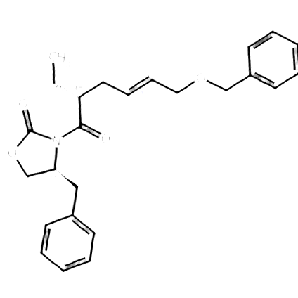 CC[C@H](C/C=C/COCc1ccccc1)C(=O)N1C(=O)OC[C@@H]1Cc1ccccc1